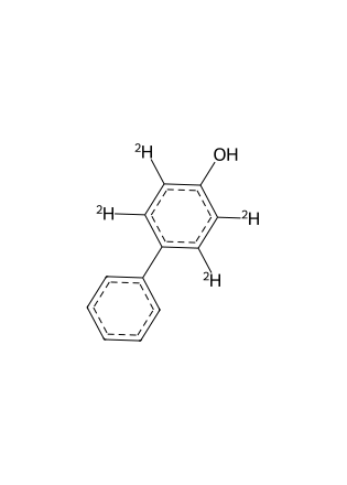 [2H]c1c([2H])c(-c2ccccc2)c([2H])c([2H])c1O